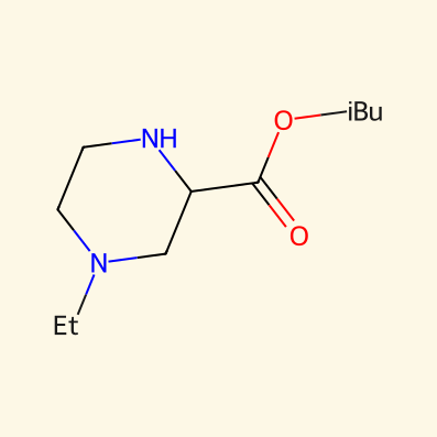 CCC(C)OC(=O)C1CN(CC)CCN1